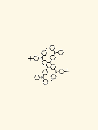 Cc1ccc(N(c2ccc(C(C)(C)C)cc2)c2ccc3c(-c4ccc(N(c5ccccc5)c5ccccc5)cc4)c4cc(N(c5ccc(C)cc5)c5ccc(C(C)(C)C)cc5)ccc4c(-c4ccc(N(c5ccccc5)c5ccccc5)cc4)c3c2)cc1